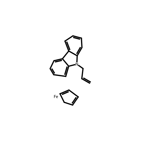 C1=CCC=C1.C=CCn1c2ccccc2c2ccccc21.[Fe]